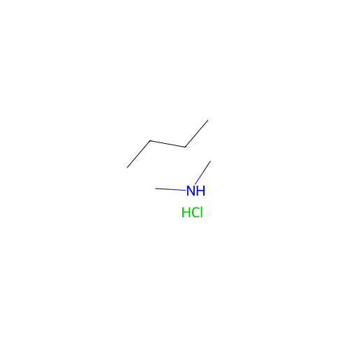 CCCC.CNC.Cl